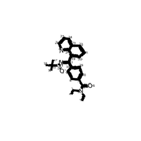 CCN(CC)C(=O)c1ccc(C(=N[S+]([O-])C(C)(C)C)c2cccc3cccnc23)cc1